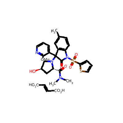 COc1ncccc1C1(N2C[C@H](O)C[C@H]2C(=O)N(C)C)C(=O)N(S(=O)(=O)c2cccs2)c2ccc(C)cc21.O=C(O)C=CC(=O)O